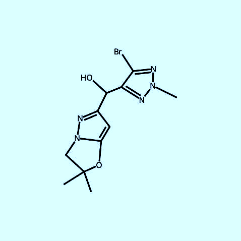 Cn1nc(Br)c(C(O)c2cc3n(n2)CC(C)(C)O3)n1